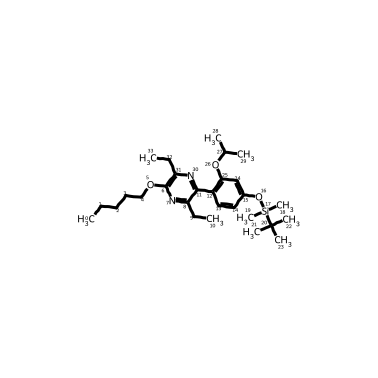 CCCCCOc1nc(CC)c(-c2ccc(O[Si](C)(C)C(C)(C)C)cc2OC(C)C)nc1CC